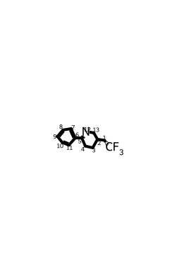 FC(F)(F)CC1CCC(c2ccccc2)=NC1